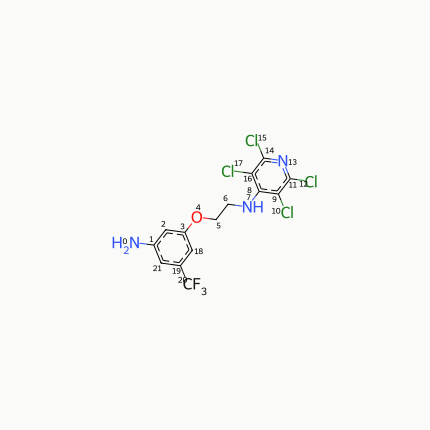 Nc1cc(OCCNc2c(Cl)c(Cl)nc(Cl)c2Cl)cc(C(F)(F)F)c1